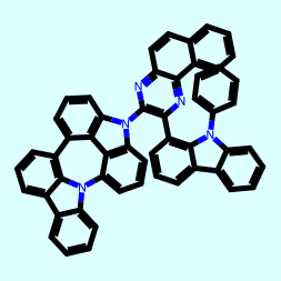 c1ccc(-n2c3ccccc3c3cccc(-c4nc5c(ccc6ccccc65)nc4-n4c5cccc6c7cccc8c9ccccc9n(c9cccc4c9c65)c78)c32)cc1